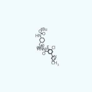 Cn1cnc(-c2cc(Cl)c(F)c(C(=O)NNS(=O)(=O)C[C@@H]3CCC[C@@H](NC(=O)OC(C)(C)C)C3)c2)c1